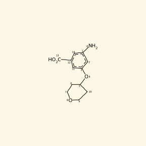 Nc1cc(OC2CCOCC2)cc(C(=O)O)c1